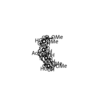 COCCNC(=O)c1ccc(C(=O)NCCCN(CCCC(C(C)=O)N(CCCNC(=O)c2ccc(C(=O)NCCOC)c(O)c2O)C(=O)c2ccc(C(=O)NCCOC)c(O)c2O)C(=O)c2ccc(C(=O)NCCOC)c(O)c2O)c(O)c1O